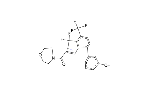 O=C(/C=C/c1c(-c2cccc(O)c2)c[c]c(C(F)(F)F)c1C(F)(F)F)N1CCOCC1